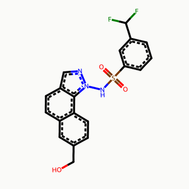 O=S(=O)(Nn1ncc2ccc3cc(CO)ccc3c21)c1cccc(C(F)F)c1